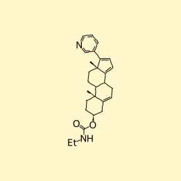 CCNC(=O)O[C@H]1CC[C@@]2(C)C(=CCC3C4=CC=C(c5cccnc5)[C@@]4(C)CCC32)C1